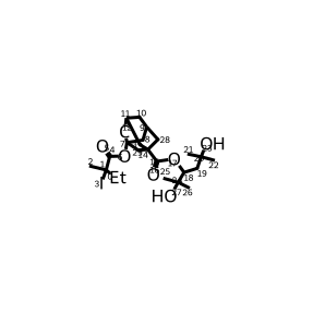 CCC(C)(I)C(=O)OC12CC3CC(C1)CC(C(=O)OC(CC(C)(C)O)C(C)(C)O)(C3)C2